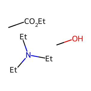 CCN(CC)CC.CCOC(C)=O.CO